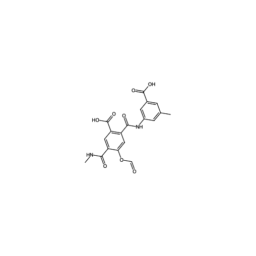 CNC(=O)c1cc(C(=O)O)c(C(=O)Nc2cc(C)cc(C(=O)O)c2)cc1OC=O